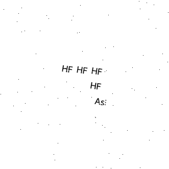 F.F.F.F.[As]